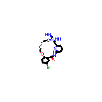 N=CN1CCCCCOc2ccc(Br)cc2C(=O)Nc2cccc(n2)C1=N